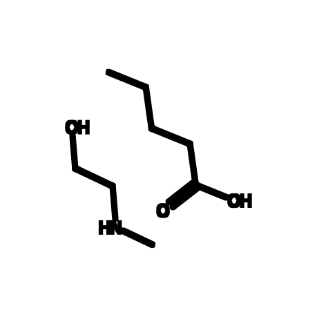 CCCCC(=O)O.CNCCO